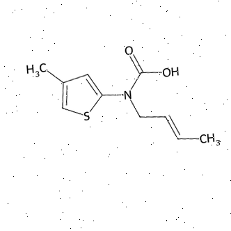 CC=CCN(C(=O)O)c1cc(C)cs1